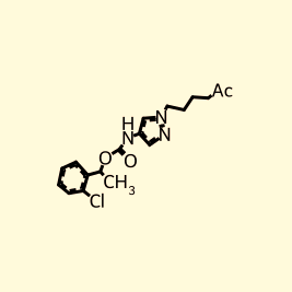 CC(=O)CCCCn1cc(NC(=O)OC(C)c2ccccc2Cl)cn1